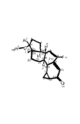 CCCO[C@]1(C(C)=O)CC[C@H]2[C@@H]3C=C(F)C4=CC(=O)C5CC5[C@@]4(C)[C@@H]3CC[C@@]21C